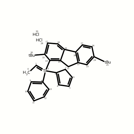 C[CH]=[Ti]([C]1=CC=CC1)([c]1ccccc1)[c]1c(C(C)(C)C)ccc2c1Cc1cc(C(C)(C)C)ccc1-2.Cl.Cl